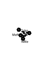 CNc1ccc(C(O)(C[C@H](C)N(Cc2ccccc2)C[C@H](O)COc2ccccc2)c2ccc(NC)cc2)cc1